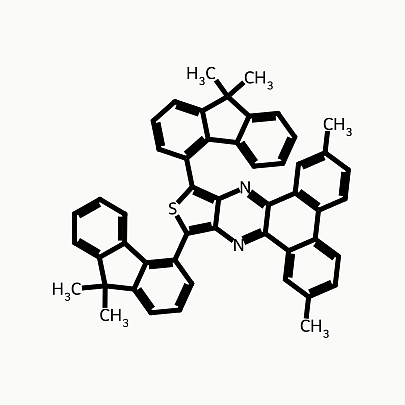 Cc1ccc2c3ccc(C)cc3c3nc4c(-c5cccc6c5-c5ccccc5C6(C)C)sc(-c5cccc6c5-c5ccccc5C6(C)C)c4nc3c2c1